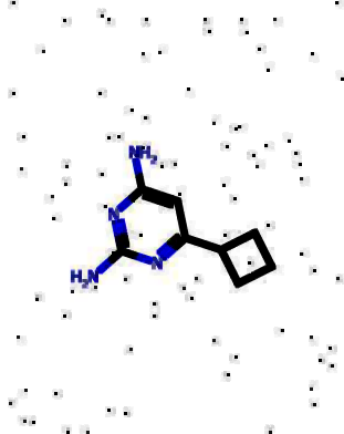 Nc1cc(C2CCC2)nc(N)n1